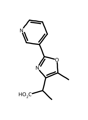 Cc1oc(-c2cccnc2)nc1C(C)C(=O)O